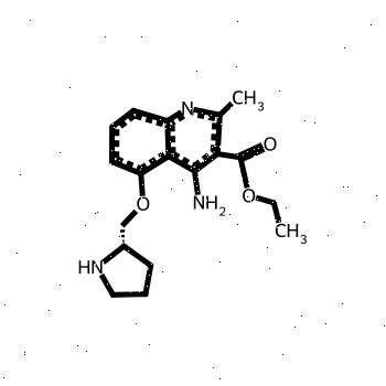 CCOC(=O)c1c(C)nc2cccc(OC[C@@H]3CCCN3)c2c1N